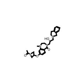 CC(=O)N1CC(Oc2ccc3c(c2)N(C)CCN(C[C@H](O)CN2CCc4ccccc4C2)C3=O)C1